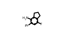 CC(C)c1cc(F)c2c(c1N)CCC2